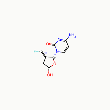 Nc1ccn([C@@H]2OC(O)C/C2=C\F)c(=O)n1